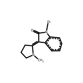 CCN1C(=O)/C(=C2\CCCN2C)c2ccccc21